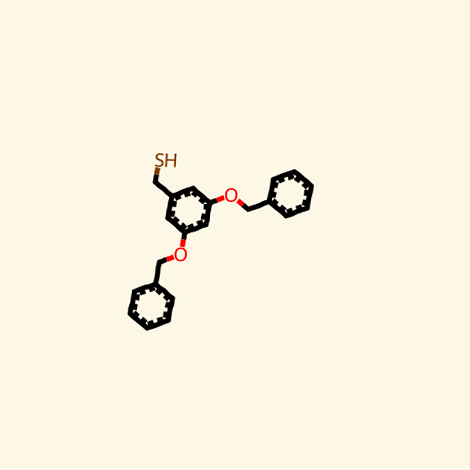 SCc1cc(OCc2ccccc2)cc(OCc2ccccc2)c1